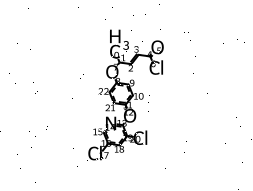 CC(C=CC(=O)Cl)Oc1ccc(Oc2ncc(Cl)cc2Cl)cc1